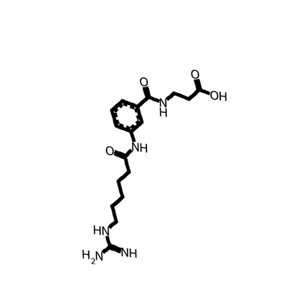 N=C(N)NCCCCCC(=O)Nc1cccc(C(=O)NCCC(=O)O)c1